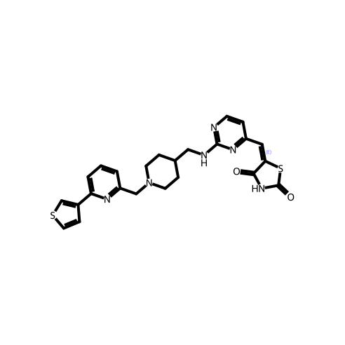 O=C1NC(=O)/C(=C\c2ccnc(NCC3CCN(Cc4cccc(-c5ccsc5)n4)CC3)n2)S1